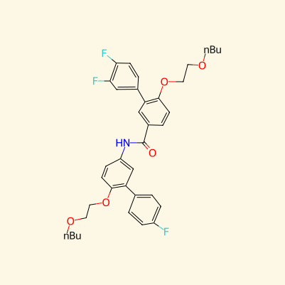 CCCCOCCOc1ccc(NC(=O)c2ccc(OCCOCCCC)c(-c3ccc(F)c(F)c3)c2)cc1-c1ccc(F)cc1